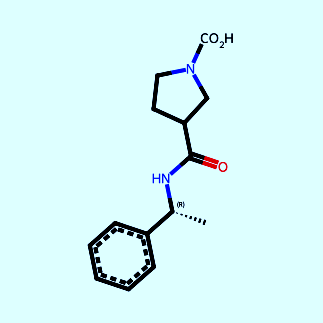 C[C@@H](NC(=O)C1CCN(C(=O)O)C1)c1ccccc1